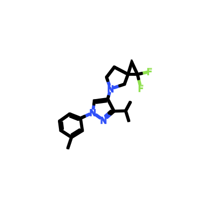 Cc1cccc(-n2cc(N3CCC4(C3)CC4(F)F)c(C(C)C)n2)c1